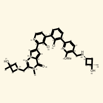 COc1nc(-c2cccc(-c3ccnc(-c4cc5c(=O)n(C)c(CN6CC(C)(O)C6)nn5c4)c3Cl)c2Cl)ccc1CN[C@H]1C[C@](C)(O)C1